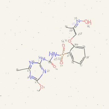 COc1nc(C)nc(NC(=O)NS(=O)(=O)c2ccccc2OC/C(C)=N\O)n1